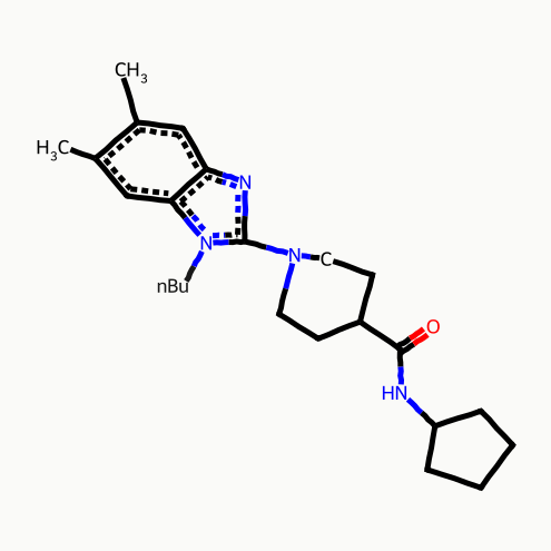 CCCCn1c(N2CCC(C(=O)NC3CCCC3)CC2)nc2cc(C)c(C)cc21